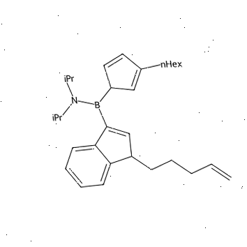 C=CCCCC1C=C(B(C2C=CC(CCCCCC)=C2)N(C(C)C)C(C)C)c2ccccc21